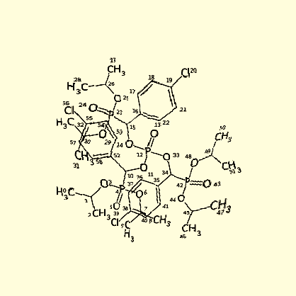 CC(C)OP(=O)(OC(C)C)C(OP(=O)(OC(c1ccc(Cl)cc1)P(=O)(OC(C)C)OC(C)C)OC(c1ccc(Cl)cc1)P(=O)(OC(C)C)OC(C)C)c1ccc(Cl)cc1